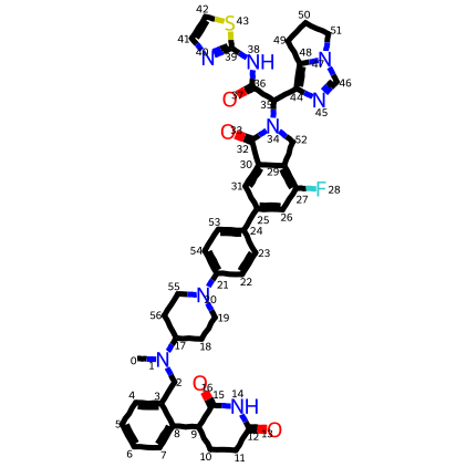 CN(Cc1ccccc1C1CCC(=O)NC1=O)C1CCN(c2ccc(-c3cc(F)c4c(c3)C(=O)N(C(C(=O)Nc3nccs3)c3ncn5c3CCC5)C4)cc2)CC1